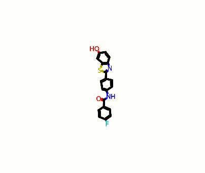 O=C(Nc1ccc(-c2nc3ccc(O)cc3s2)cc1)c1ccc(F)cc1